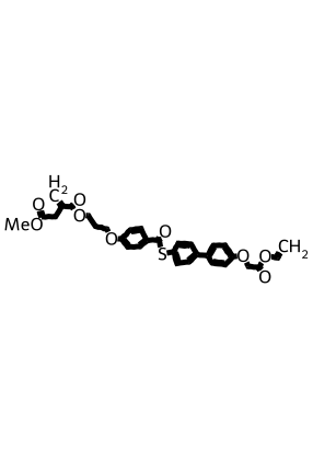 C=COC(=O)COc1ccc(-c2ccc(SC(=O)c3ccc(OCCCOC(=O)C(=C)CC(=O)OC)cc3)cc2)cc1